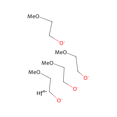 COCC[O-].COCC[O-].COCC[O-].COCC[O-].[Hf+4]